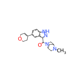 CN1CC2CC1CN2C(=O)c1n[nH]c2ccc(C3=CCOCC3)cc12